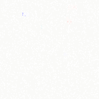 CCCCC/C=C/c1ccc(-c2c(C(=O)O)ccc(C#N)c2F)cc1